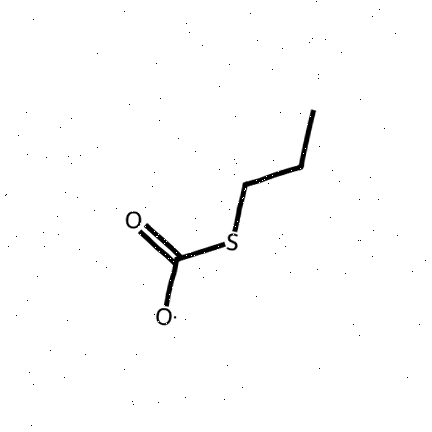 CCCSC([O])=O